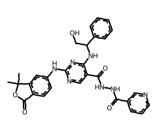 CC1(C)OC(=O)c2ccc(Nc3ncc(C(=O)NNC(=O)c4cccnc4)c(NC(CO)c4ccccc4)n3)cc21